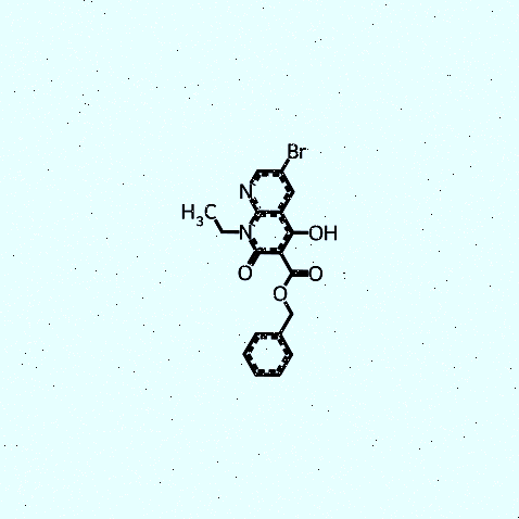 CCn1c(=O)c(C(=O)OCc2ccccc2)c(O)c2cc(Br)cnc21